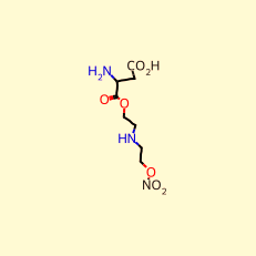 NC(CC(=O)O)C(=O)OCCNCCO[N+](=O)[O-]